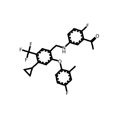 CC(=O)c1cc(NCc2cc(C(F)(F)F)c(C3CC3)cc2Oc2ccc(F)cc2C)ccc1F